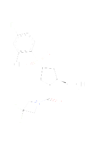 O=C(O)[C@@H]1C[C@@H](S(=O)(=O)c2ccc(F)cc2C(F)(F)F)C[C@H]1C(=O)N1CC(F)(F)C1